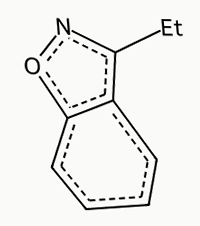 [CH2]Cc1noc2ccccc12